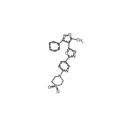 Cc1onc(-c2ccccc2)c1-c1nnc(-c2ccc(N3CCS(=O)(=O)CC3)nc2)o1